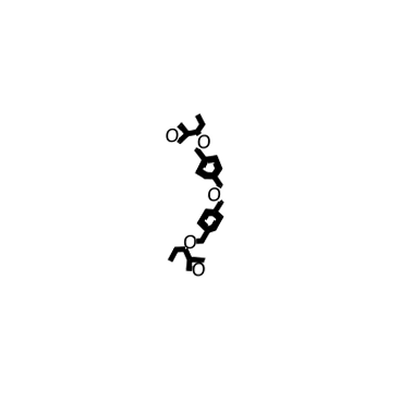 CCC(OCc1ccc(COCc2ccc(COC(CC)C3COC3)cc2)cc1)C1COC1